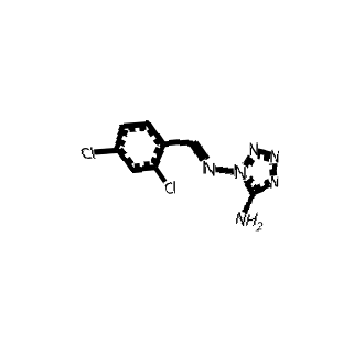 Nc1nnnn1/N=C/c1ccc(Cl)cc1Cl